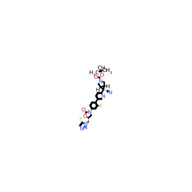 CC(C)(C)OC(=O)N1C[C@@H]2[C@H](C1)[C@@]2(C#N)c1ccc(-c2ccc(N3C[C@H](Cn4nncc4F)OC3=O)cc2F)cn1